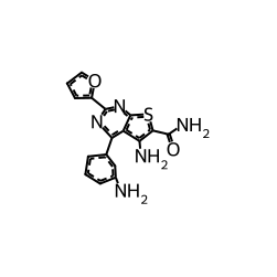 NC(=O)c1sc2nc(-c3ccco3)nc(-c3cccc(N)c3)c2c1N